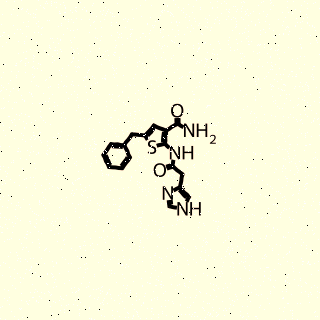 NC(=O)c1cc(Cc2ccccc2)sc1NC(=O)Cc1c[nH]cn1